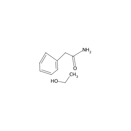 CCO.NC(=O)Cc1ccccc1